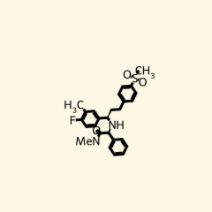 CNC(=O)[C@@H](N[C@H](CCc1ccc(S(C)(=O)=O)cc1)c1ccc(F)c(C)c1)c1ccccc1